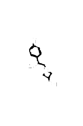 CC(=O)[C@@H](CN1CC(O)C1)c1ccc(Cl)cc1